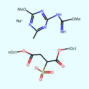 CCCCCCCCOC(=O)CC(C(=O)OCCCCCCCC)S(=O)(=O)[O-].COC(=N)Nc1nc(C)nc(OC)n1.[Na+]